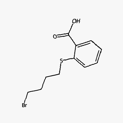 O=C(O)c1ccccc1SCCCCBr